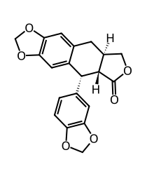 O=C1OC[C@@H]2Cc3cc4c(cc3[C@@H](c3ccc5c(c3)OCO5)[C@@H]12)OCO4